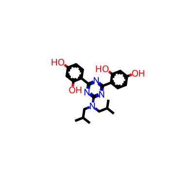 CC(C)CN(CC(C)C)c1nc(-c2ccc(O)cc2O)nc(-c2ccc(O)cc2O)n1